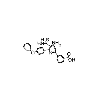 N=C(N)c1c(N)cc(-c2cccc(C(=O)O)c2)nc1-c1ccc(OC2C=CC=CC2)cc1